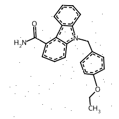 CCOc1ccc(Cn2c3ccc[c]c3c3c(C(N)=O)cccc32)cc1